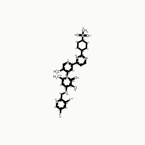 Cc1cnc(-c2ccnc(C3CCC(S(C)(=O)=O)CC3)n2)cc1-n1c(C)cc(OCc2ncc(F)cc2F)c(Cl)c1=O